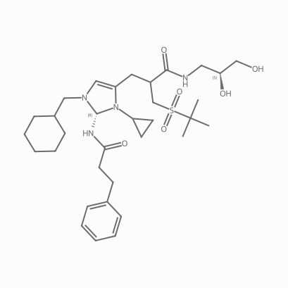 CC(C)(C)S(=O)(=O)CC(CC1=CN(CC2CCCCC2)[C@@H](NC(=O)CCc2ccccc2)N1C1CC1)C(=O)NC[C@H](O)CO